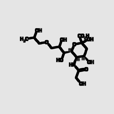 CC(O)COCC(O)C(O)[C@@H]1OC(O)(C(=O)O)C[C@H](O)[C@H]1NC(=O)CO